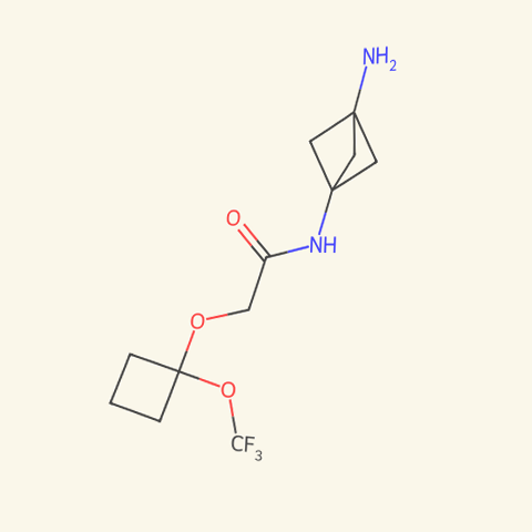 NC12CC(NC(=O)COC3(OC(F)(F)F)CCC3)(C1)C2